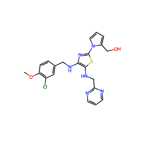 COc1ccc(CNc2nc(-n3cccc3CO)sc2NCc2ncccn2)cc1Cl